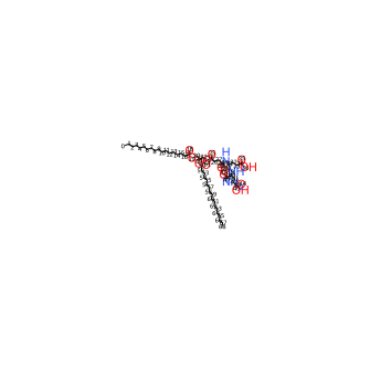 CCCCCCCCCCCCCCCCCC(=O)OCC(COC(=O)CCC(=O)NC(CCC(=O)O)C(=O)NC(CCC(=O)O)C(N)=O)OC(=O)CCCCCCCCCCCCCCCCC